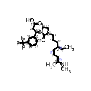 C/C=C(/C=C\C=C(/C)NC)CCCN1CCN(C(CC(=O)O)c2cccc(C(F)(F)F)c2)C1=O